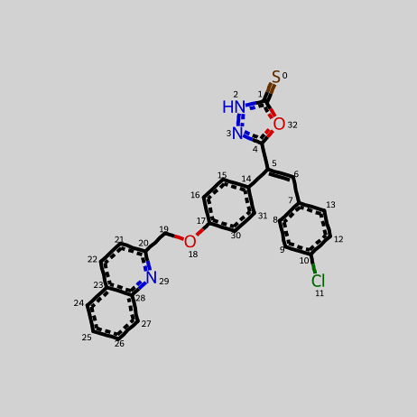 S=c1[nH]nc(/C(=C/c2ccc(Cl)cc2)c2ccc(OCc3ccc4ccccc4n3)cc2)o1